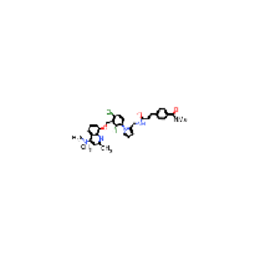 CNC(=O)c1ccc(/C=C/C(=O)NCc2cccn2-c2ccc(Cl)c(COc3cccc4c(N(C)C)cc(C)nc34)c2Cl)cc1